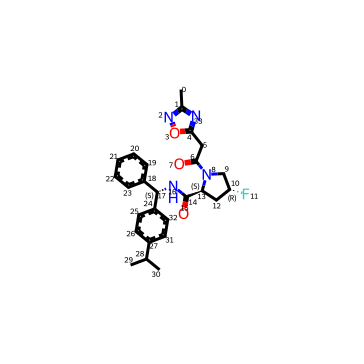 Cc1noc(CC(=O)N2C[C@H](F)C[C@H]2C(=O)N[C@@H](c2ccccc2)c2ccc(C(C)C)cc2)n1